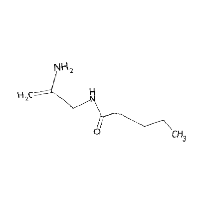 C=C(N)CNC(=O)CCCC